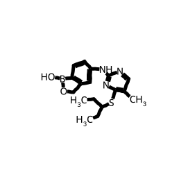 CCC(CC)Sc1nc(Nc2ccc3c(c2)COB3O)ncc1C